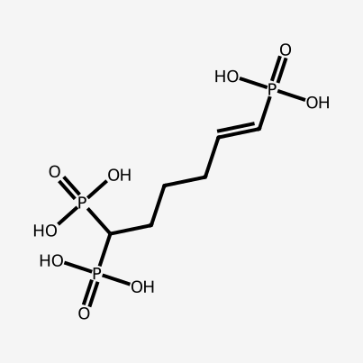 O=P(O)(O)/C=C/CCCC(P(=O)(O)O)P(=O)(O)O